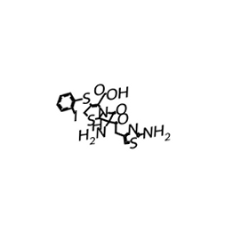 Nc1nc(CC(=O)C2(N)C(=O)N3C(C(=O)O)=C(Sc4ccccc4I)CS[C@H]32)cs1